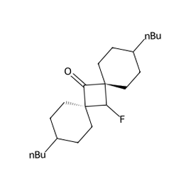 CCCCC1CC[C@]2(CC1)C(=O)[C@@]1(CCC(CCCC)CC1)C2F